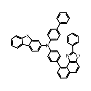 c1ccc(-c2ccc(N(c3ccc(-c4cccc5ccc6oc(-c7ccccc7)nc6c45)cc3)c3ccc4c(c3)sc3ccccc34)cc2)cc1